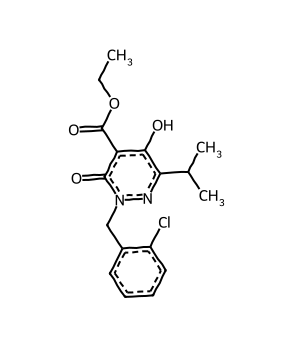 CCOC(=O)c1c(O)c(C(C)C)nn(Cc2ccccc2Cl)c1=O